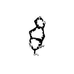 Cc1nc2cc3cnoc3cc2[nH]1